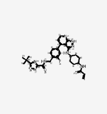 C=CC(=O)NC1CCC(Nc2n[nH]c3nccc(-c4ccc(CNC(=O)c5noc(C(C)(C)C)n5)c(F)c4)c23)CC1